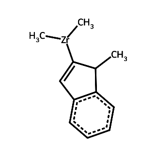 CC1[C]([Zr]([CH3])[CH3])=Cc2ccccc21